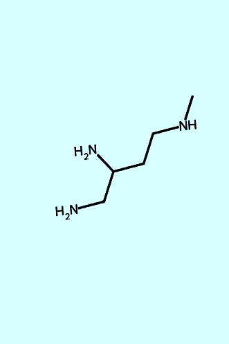 CNCCC(N)CN